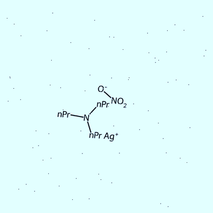 CCCN(CCC)CCC.O=[N+]([O-])[O-].[Ag+]